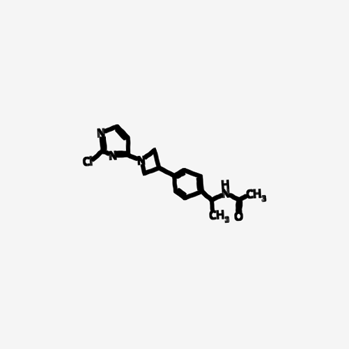 CC(=O)NC(C)c1ccc(C2CN(c3ccnc(Cl)n3)C2)cc1